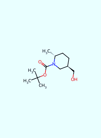 C[C@@H]1CC[C@@H](CO)CN1C(=O)OC(C)(C)C